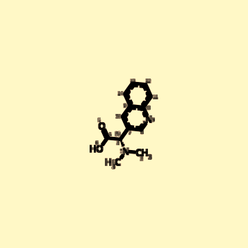 CN(C)[C@H](C(=O)O)c1cnc2ccccc2c1